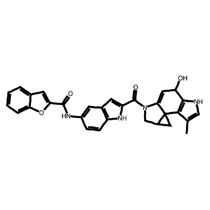 Cc1c[nH]c2c1C13CC1CN(C(=O)c1cc4cc(NC(=O)c5cc6ccccc6o5)ccc4[nH]1)C3=CC2O